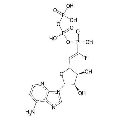 Nc1ccnc2c1ncn2[C@@H]1O[C@H](/C=C(\F)P(=O)(O)OP(=O)(O)OP(=O)(O)O)[C@@H](O)[C@H]1O